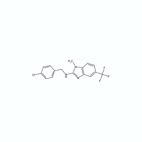 Cn1c(NCc2ccc(Cl)cc2)nc2cc(C(F)(F)F)ccc21